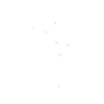 Fc1ccc2c(c1)CN(c1nccc(-c3nccc(Cl)n3)n1)C2